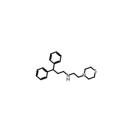 c1ccc(C(CCNCCN2CCSCC2)c2ccccc2)cc1